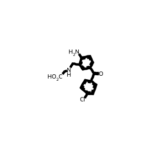 Nc1ccc(C(=O)c2ccc(Cl)cc2)cc1CNCC(=O)O